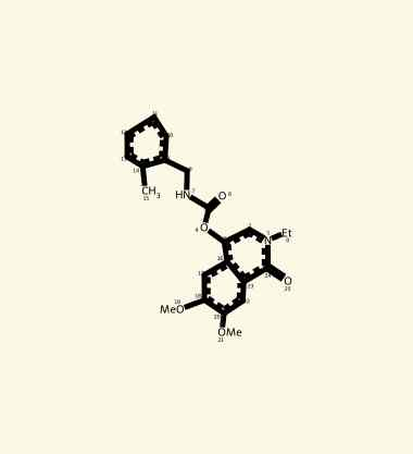 CCn1cc(OC(=O)NCc2ccccc2C)c2cc(OC)c(OC)cc2c1=O